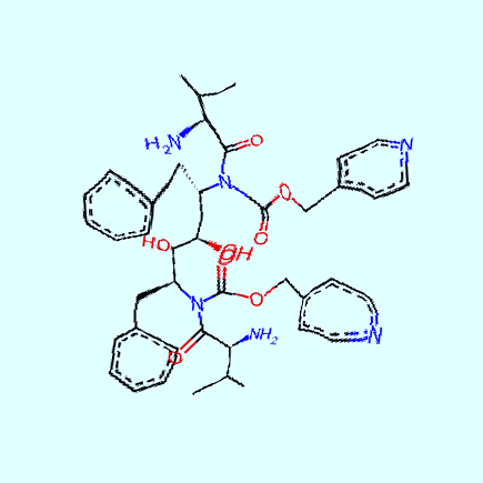 CC(C)[C@H](N)C(=O)N(C(=O)OCc1ccncc1)[C@@H](Cc1ccccc1)[C@@H](O)[C@H](O)[C@H](Cc1ccccc1)N(C(=O)OCc1ccncc1)C(=O)[C@@H](N)C(C)C